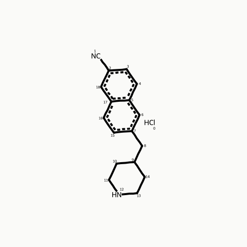 Cl.N#Cc1ccc2cc(CC3CCNCC3)ccc2c1